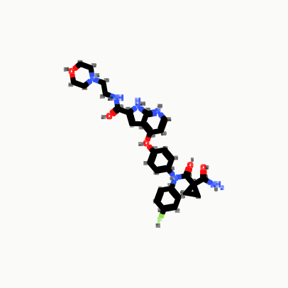 NC(=O)C1(C(=O)N(c2ccc(F)cc2)c2ccc(Oc3ccnc4[nH]c(C(=O)NCCN5CCOCC5)cc34)cc2)CC1